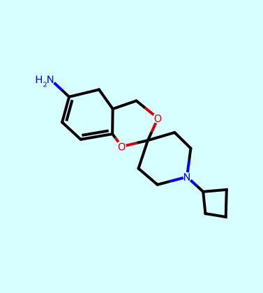 NC1=CC=C2OC3(CCN(C4CCC4)CC3)OCC2C1